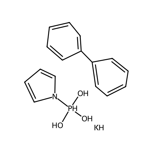 O[PH](O)(O)n1cccc1.[KH].c1ccc(-c2ccccc2)cc1